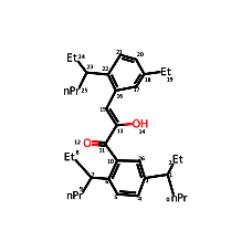 CCCC(CC)c1ccc(C(CC)CCC)c(C(=O)C(O)=Cc2cc(CC)ccc2C(CC)CCC)c1